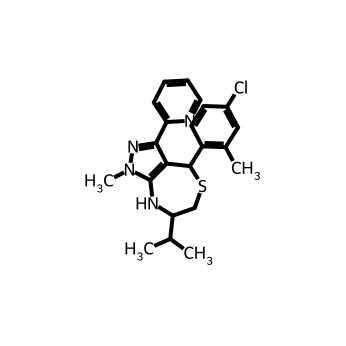 Cc1cc(Cl)ccc1C1SCC(C(C)C)Nc2c1c(-c1ccccn1)nn2C